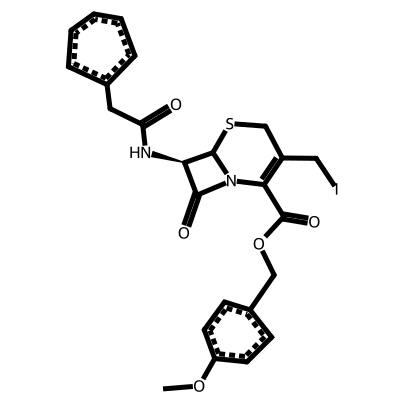 COc1ccc(COC(=O)C2=C(CI)CSC3[C@H](NC(=O)Cc4ccccc4)C(=O)N23)cc1